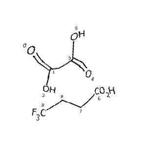 O=C(O)C(=O)O.O=C(O)CCC(F)(F)F